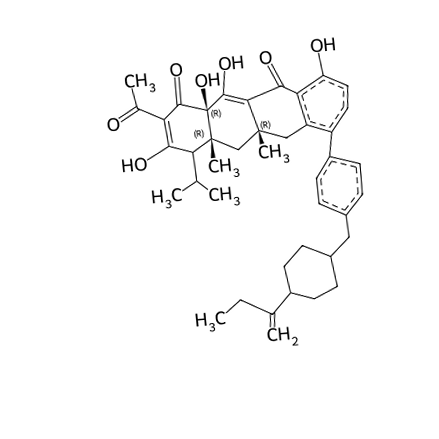 C=C(CC)C1CCC(Cc2ccc(-c3ccc(O)c4c3C[C@]3(C)C[C@]5(C)C(C(C)C)C(O)=C(C(C)=O)C(=O)[C@]5(O)C(O)=C3C4=O)cc2)CC1